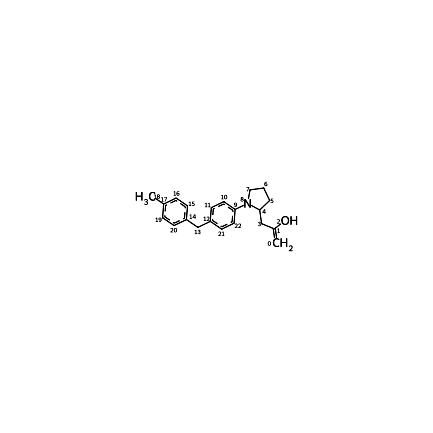 C=C(O)CC1CCCN1c1ccc(Cc2ccc(C)cc2)cc1